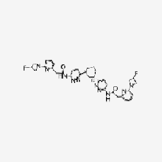 O=C(Cc1cccc(N2CC(F)C2)n1)Nc1ccc([C@H]2CCC[C@H](c3ccc(NC(=O)Cc4cccc(N5CC(F)C5)n4)nn3)C2)nn1